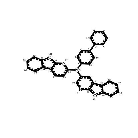 c1ccc(-c2ccc(N(c3cnc4oc5ccccc5c4c3)c3ccc4c(n3)oc3ccccc34)cc2)cc1